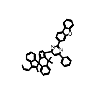 C/C=C\C1=C(C)C2(c3ccccc31)c1ccccc1C(C)(C)c1c(-c3cc(-c4ccccc4)nc(-c4ccc5c(c4)oc4ccccc45)n3)cccc12